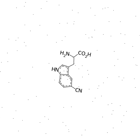 N#Cc1ccc2[nH]cc(CC(N)C(=O)O)c2c1